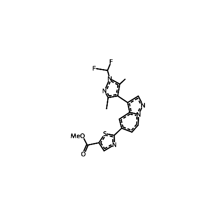 COC(=O)c1cnc(-c2ccn3ncc(-c4c(C)nn(C(F)F)c4C)c3c2)s1